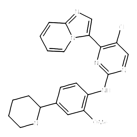 COc1cc(C2CCCC[N]2)ccc1Nc1ncc(Cl)c(-c2cnc3ccccn23)n1